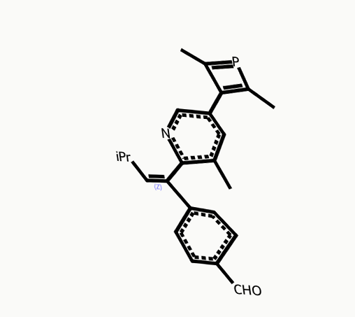 CC1=PC(C)=C1c1cnc(/C(=C\C(C)C)c2ccc(C=O)cc2)c(C)c1